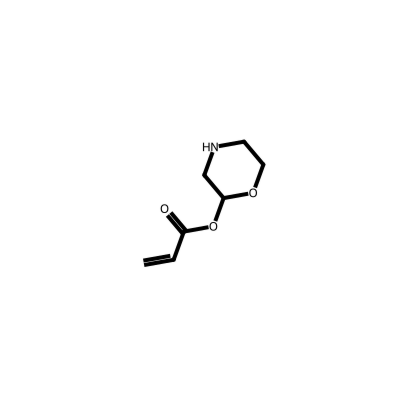 C=CC(=O)OC1CNCCO1